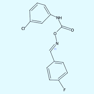 O=C(Nc1cccc(Cl)c1)O/N=C/c1ccc(F)cc1